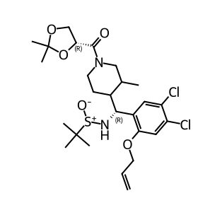 C=CCOc1cc(Cl)c(Cl)cc1[C@H](N[S+]([O-])C(C)(C)C)C1CCN(C(=O)[C@H]2COC(C)(C)O2)CC1C